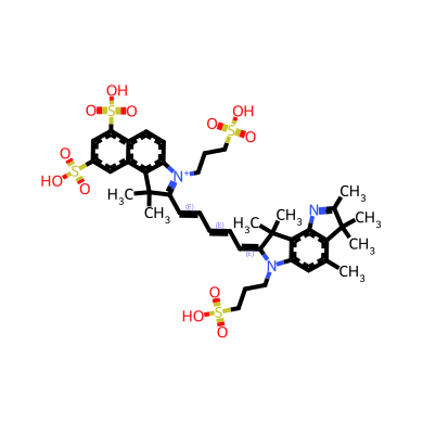 CC1=Nc2c(c(C)cc3c2C(C)(C)\C(=C/C=C/C=C/C2=[N+](CCCS(=O)(=O)O)c4ccc5c(S(=O)(=O)O)cc(S(=O)(=O)O)cc5c4C2(C)C)N3CCCS(=O)(=O)O)C1(C)C